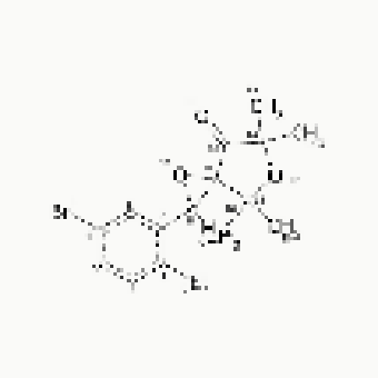 CCc1ccc(Br)cc1C1(C)OC12C(=O)C(C)(C)OC2(C)C